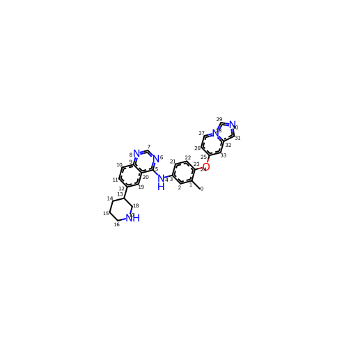 Cc1cc(Nc2ncnc3ccc(C4CCCNC4)cc23)ccc1Oc1ccn2cncc2c1